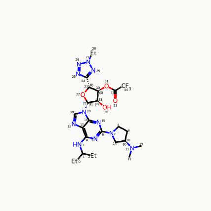 CCC(CC)Nc1nc(N2CC[C@@H](N(C)C)C2)nc2c1ncn2[C@@H]1O[C@H](c2nnn(CC)n2)[C@@H](OC(=O)C(F)(F)F)[C@H]1O